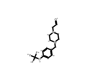 O=[C]CN1CCN(Cc2ccc(OC(F)(F)F)cc2)CC1